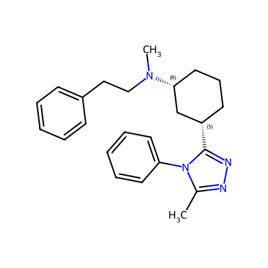 Cc1nnc([C@H]2CCC[C@@H](N(C)CCc3ccccc3)C2)n1-c1ccccc1